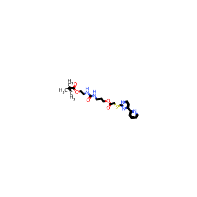 CC(C)(C)C(=O)OCCNC(=O)NCCCOC(=O)CSc1nccc(-c2ccccn2)n1